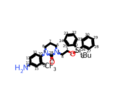 CC(C)(C)[Si](OCCN1CCCN(c2ccc(N)cc2C(F)(F)F)C1=O)(c1ccccc1)c1ccccc1